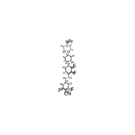 CCCC1CCC(c2ccc(-c3ccc(CCc4cc(F)c(C#N)c(F)c4)c(F)c3F)cc2)CC1